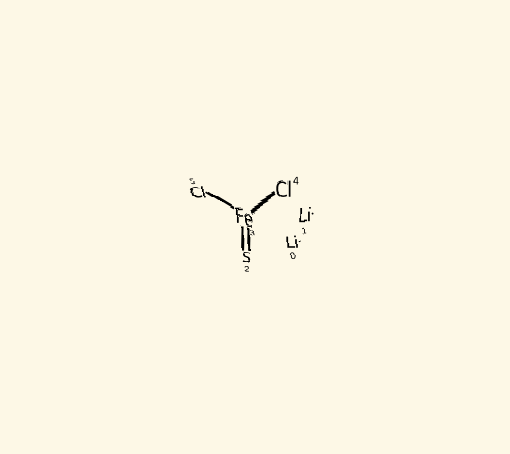 [Li].[Li].[S]=[Fe]([Cl])[Cl]